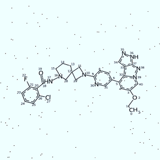 CCOc1cc(-c2ccc(N3CC4(CCCN(NC(=O)c5c(F)cccc5Cl)C4)C3)nc2)c2c3cn[nH]c3nn2c1